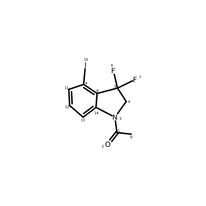 CC(=O)N1CC(F)(F)c2c(I)cccc21